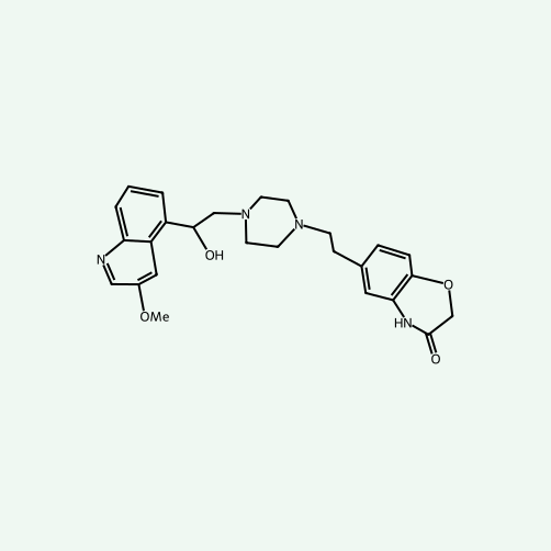 COc1cnc2cccc(C(O)CN3CCN(CCc4ccc5c(c4)NC(=O)CO5)CC3)c2c1